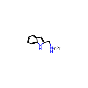 CCCNCc1cc2ccccc2[nH]1